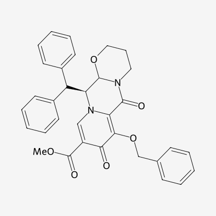 COC(=O)c1cn2c(c(OCc3ccccc3)c1=O)C(=O)N1CCCOC1[C@@H]2C(c1ccccc1)c1ccccc1